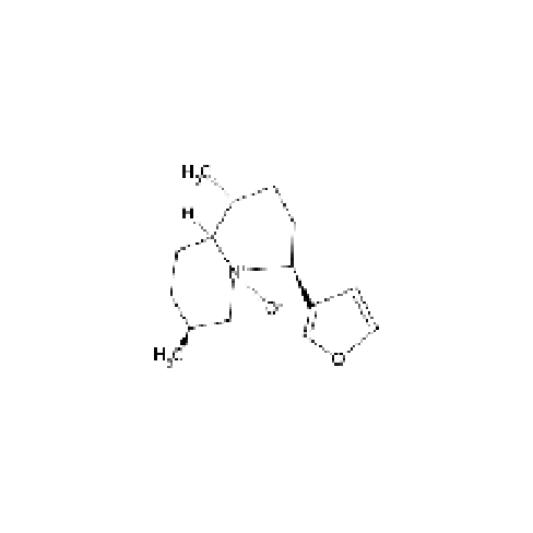 C[C@H]1CC[C@H]2[C@H](C)CC[C@@H](c3ccoc3)[N@@+]2([O-])C1